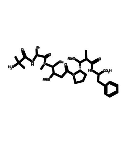 CCC(C)C(C(CC(=O)N1CCC[C@H]1C(OC)C(C)C(=O)NC(Cc1ccccc1)C(=O)O)OC)N(C)C(=O)C(NC(=O)C(C)(C)N)C(C)C